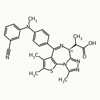 Cc1sc2c(c1C)C(c1ccc(N(C)c3cccc(C#N)c3)cc1)=N[C@@H](C(C)C(=O)O)c1nnc(C)n1-2